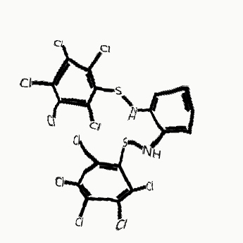 Clc1c(Cl)c(Cl)c(SNc2ccccc2NSc2c(Cl)c(Cl)c(Cl)c(Cl)c2Cl)c(Cl)c1Cl